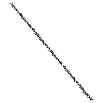 COCCOCCOCCOCCOCCOCCOCCOCCOCCOCCOCCOCCOCCOCCOCCOCCOCCOCCOCCOCCOCCOCCOCCOCCOCCOCCOCCOCCOCCOCCOCCOCCOCCOCCOCCOCCBr